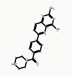 CCCc1nc(N)nc2ccc(-c3ccc(C(=O)N4CCNCC4)cc3)nc12